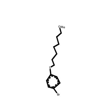 COCCCCCCCSc1ccc(Br)cc1